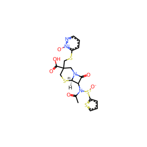 CC(=O)N(C1C(=O)N2CC(CSc3cccn[n+]3[O-])(C(=O)O)CS[C@H]12)[S+]([O-])c1cccs1